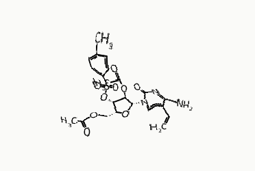 C=Cc1cn([C@@H]2O[C@H](COC(C)=O)[C@H](OS(=O)(=O)c3ccc(C)cc3)[C@H]2OC(C)=O)c(=O)nc1N